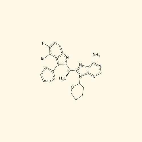 C[C@@H](c1nc2ccc(F)c(Br)c2n1-c1ccccc1)c1nc2c(N)ncnc2n1C1CCCCO1